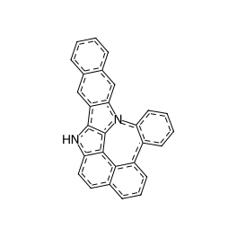 c1ccc2cc3c(cc2c1)c1[nH]c2ccc4cccc5c6ccccc6n3c1c2c45